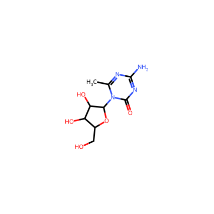 Cc1nc(N)nc(=O)n1C1OC(CO)C(O)C1O